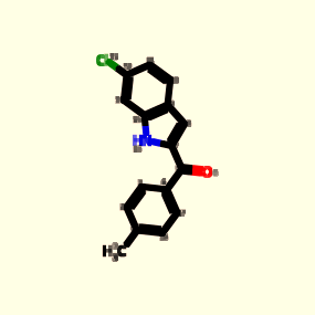 Cc1ccc(C(=O)c2cc3ccc(Cl)cc3[nH]2)cc1